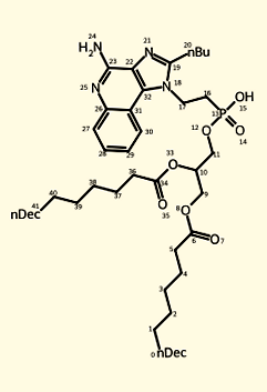 CCCCCCCCCCCCCCCC(=O)OCC(COP(=O)(O)CCn1c(CCCC)nc2c(N)nc3ccccc3c21)OC(=O)CCCCCCCCCCCCCCC